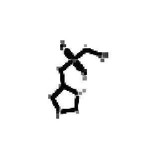 CCS(=O)(=O)CC1COCO1